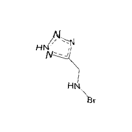 BrNCc1nn[nH]n1